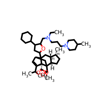 CCN(CCCN1CCC(C)CC1)CC1OC(C23C[C@@H]4[C@H](C)CC[C@H]4C4(C=O)CC2C=C(C(C)C)[C@@]34C(=O)OC)CC1C1CCCCC1